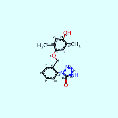 Cc1cc(OCc2ccccc2-n2nn[nH]c2=O)c(C)cc1O